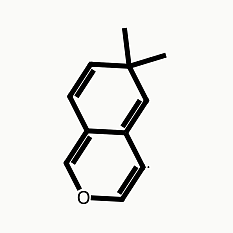 CC1(C)C=CC2=COC=[C]C2=C1